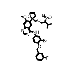 COc1cc2ncnc(Nc3ccc(OCc4cccc(F)c4)c(Br)c3)c2cc1C1(COCC(C(C)C)=S(=O)=O)CC=CO1